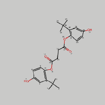 CC(C)(C)c1cc(O)ccc1OC(=O)CCC(=O)Oc1ccc(O)cc1C(C)(C)C